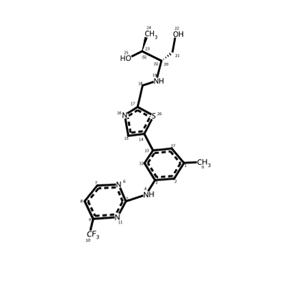 Cc1cc(Nc2nccc(C(F)(F)F)n2)cc(-c2cnc(CN[C@@H](CO)[C@H](C)O)s2)c1